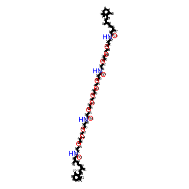 CC(C=CC1=C(C)CCCC1(C)C)=CC=CC(C)=CC(=O)NCCCOCCOCCOCCCNC(=O)CCOCCOCCOCCOCCOCCC(=O)NCCCOCCOCCOCCCNC(=O)C=C(C)C=CC=C(C)C=CC1=C(C)CCCC1(C)C